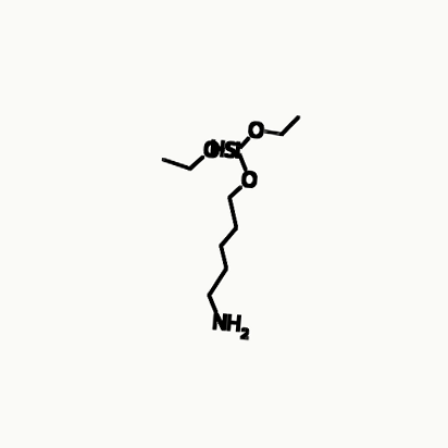 CCO[SiH](OCC)OCCCCCN